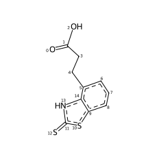 O=C(O)CCc1cccc2sc(=S)[nH]c12